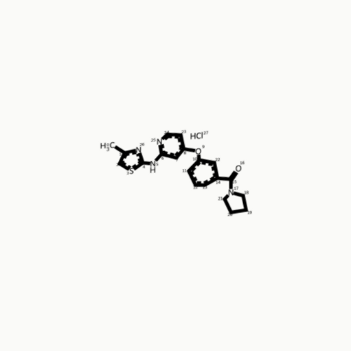 Cc1csc(Nc2cc(Oc3cccc(C(=O)N4CCCC4)c3)ccn2)n1.Cl